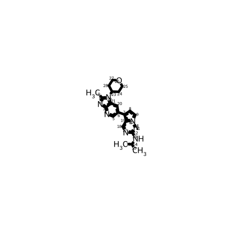 Cc1nc2ncc(-c3ccn4nc(NC(C)C)ncc34)cc2n1C1CCOCC1